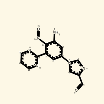 Nc1cc(-n2cnc(C=O)c2)cc(-c2ncccn2)c1N=O